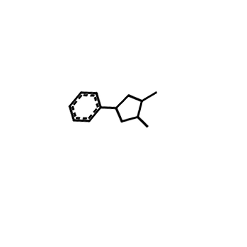 CC1CC(c2ccccc2)CC1C